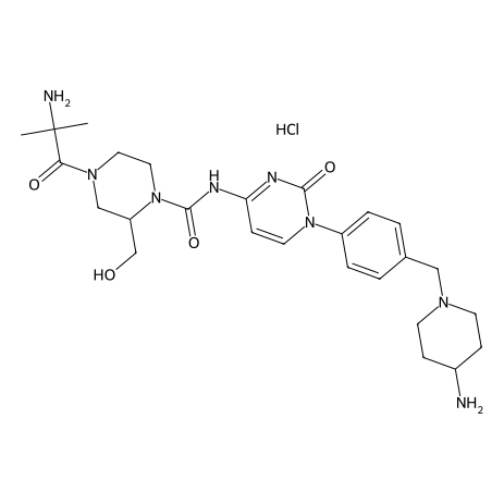 CC(C)(N)C(=O)N1CCN(C(=O)Nc2ccn(-c3ccc(CN4CCC(N)CC4)cc3)c(=O)n2)C(CO)C1.Cl